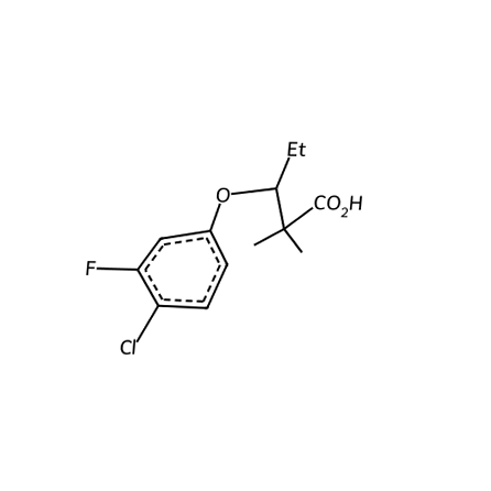 CCC(Oc1ccc(Cl)c(F)c1)C(C)(C)C(=O)O